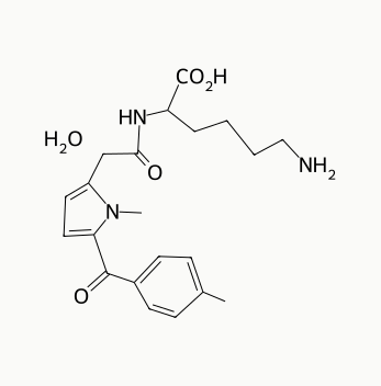 Cc1ccc(C(=O)c2ccc(CC(=O)NC(CCCCN)C(=O)O)n2C)cc1.O